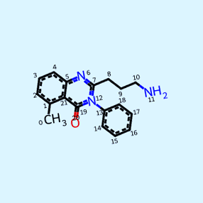 Cc1cccc2nc(CCCN)n(-c3ccccc3)c(=O)c12